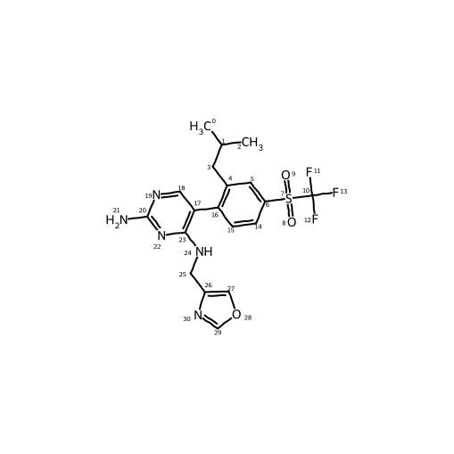 CC(C)Cc1cc(S(=O)(=O)C(F)(F)F)ccc1-c1cnc(N)nc1NCc1cocn1